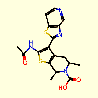 CC(=O)Nc1sc2c(c1-c1nc3cnccc3s1)C[C@@H](C)N(C(=O)O)[C@H]2C